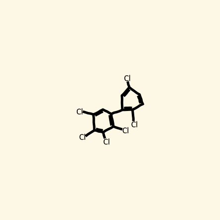 Clc1ccc(Cl)c(-c2cc(Cl)c(Cl)c(Cl)c2Cl)c1